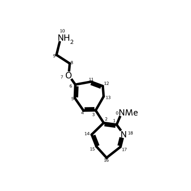 CNC1=C(C2=CC=C(OCCN)C=CC2)C=CCC=N1